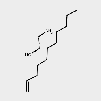 C=CCCCCCCCCC.NCCO